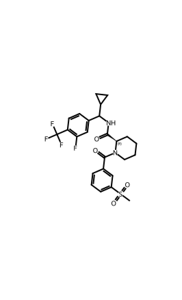 CS(=O)(=O)c1cccc(C(=O)N2CCCC[C@@H]2C(=O)NC(c2ccc(C(F)(F)F)c(F)c2)C2CC2)c1